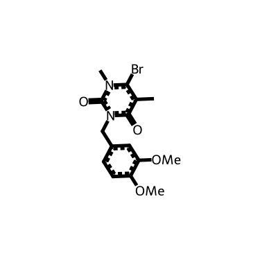 COc1ccc(Cn2c(=O)c(C)c(Br)n(C)c2=O)cc1OC